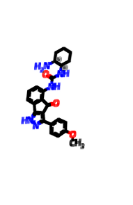 COc1ccc(-c2n[nH]c3c2C(=O)c2c(NC(=O)N[C@@H]4CCCC[C@@H]4N)cccc2-3)cc1